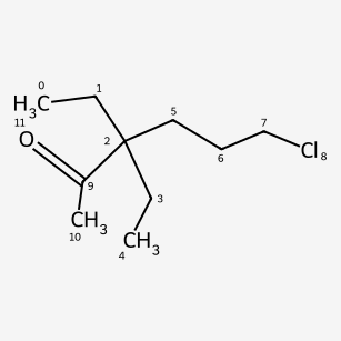 CCC(CC)(CCCCl)C(C)=O